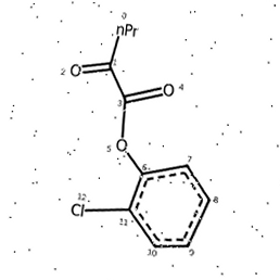 CCCC(=O)C(=O)Oc1ccccc1Cl